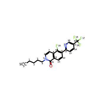 CCCCCn1ccc2c(F)c(-c3ccc(C(F)(F)F)cn3)ccc2c1=O